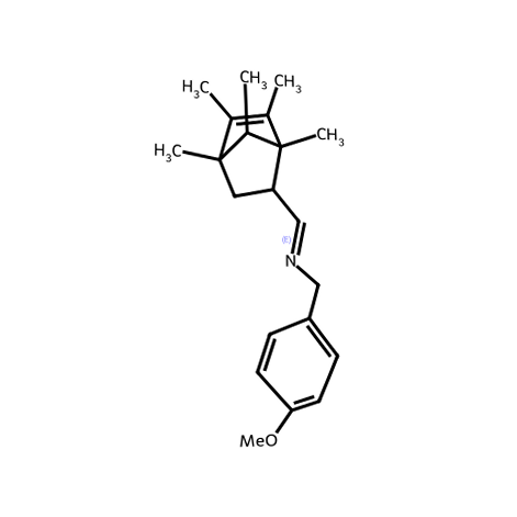 COc1ccc(C/N=C/C2CC3(C)C(C)=C(C)C2(C)C3C)cc1